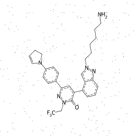 NCCCCCCn1cc2c(-c3cc(-c4ccc(N5C=CCC5)cc4)nn(CC(F)(F)F)c3=O)cccc2n1